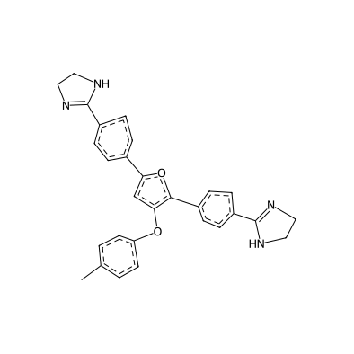 Cc1ccc(Oc2cc(-c3ccc(C4=NCCN4)cc3)oc2-c2ccc(C3=NCCN3)cc2)cc1